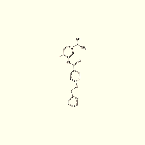 Cc1ccc(C(=N)N)cc1NC(=O)c1ccc(OCc2ccccn2)cc1